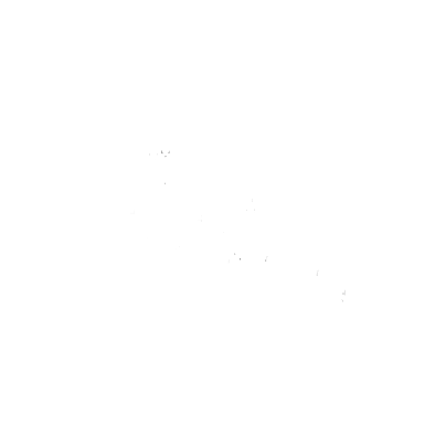 COc1cc(-c2nc3cc(Br)ccc3o2)ccc1F